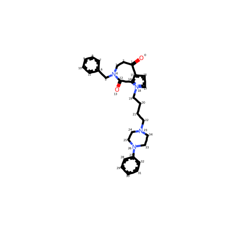 O=C1CCN(Cc2ccccc2)C(=O)c2c1ccn2CCCCN1CCN(c2ccccc2)CC1